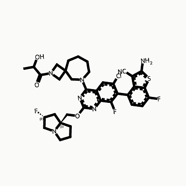 CC(O)C(=O)N1CC2(CCCCN(c3nc(OC[C@@]45CCCN4C[C@H](F)C5)nc4c(F)c(-c5ccc(F)c6sc(N)c(C#N)c56)c(Cl)cc34)C2)C1